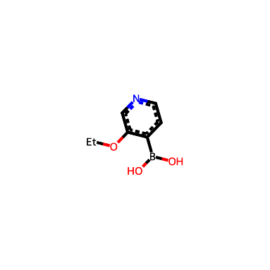 CCOc1cnccc1B(O)O